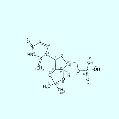 C=C1NC(=O)C=CN1C1C[C@H](COP(=O)(O)O)[C@H]2OC(C)(C)OC12